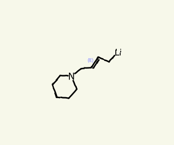 [Li][CH2]/C=C/CN1CCCCC1